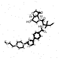 CCC(C)(C)[C@H](NC(=O)c1ccc(-c2csc(N3CCN(CCOC)CC3)n2)cc1)C(=O)N1C[C@H](O)[C@H]2OCC(=O)[C@H]21